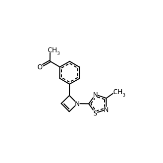 CC(=O)c1cccc(C2C=CN2c2nc(C)ns2)c1